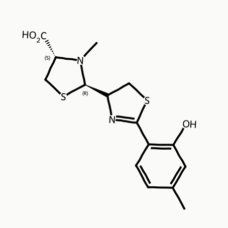 Cc1ccc(C2=NC([C@H]3SC[C@H](C(=O)O)N3C)CS2)c(O)c1